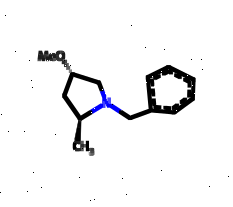 CO[C@H]1C[C@H](C)N(Cc2ccccc2)C1